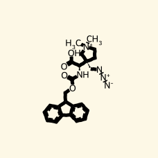 C[N+]1(C)CC[C@@](CN=[N+]=[N-])([C@H](NC(=O)OCC2c3ccccc3-c3ccccc32)C(=O)O)C1